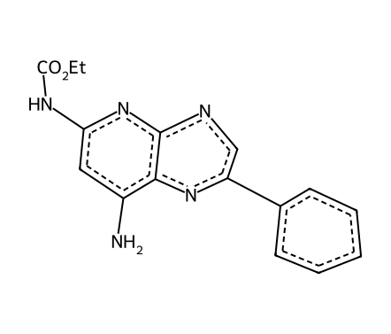 CCOC(=O)Nc1cc(N)c2nc(-c3ccccc3)cnc2n1